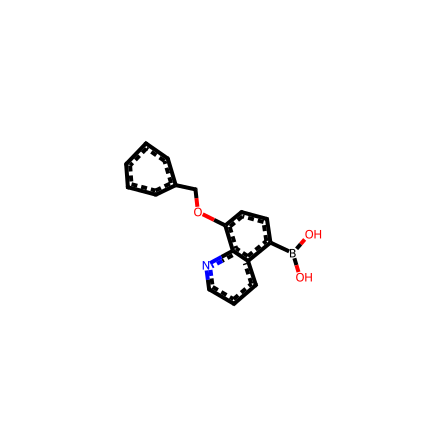 OB(O)c1ccc(OCc2ccccc2)c2ncccc12